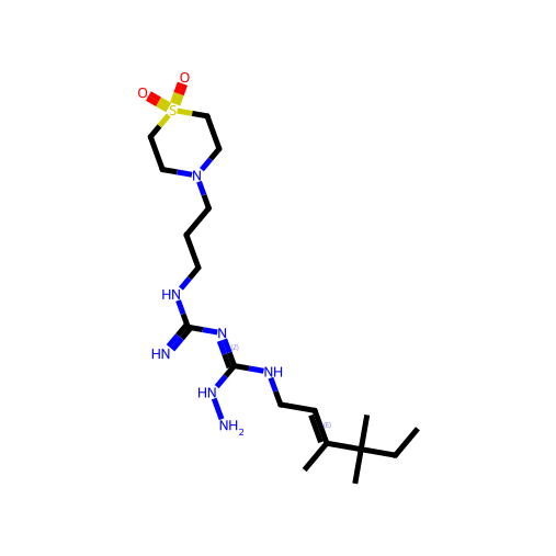 CCC(C)(C)/C(C)=C/CN/C(=N/C(=N)NCCCN1CCS(=O)(=O)CC1)NN